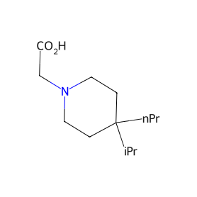 CCCC1(C(C)C)CCN(CC(=O)O)CC1